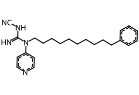 N#CNC(=N)N(CCCCCCCCCCc1ccccc1)c1ccncc1